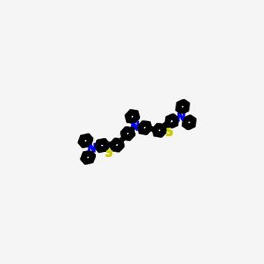 c1ccc(N(c2ccc(-c3ccc4sc5cc(N(c6ccccc6)c6ccccc6)ccc5c4c3)cc2)c2ccc(-c3ccc4sc5cc(N(c6ccccc6)c6ccccc6)ccc5c4c3)cc2)cc1